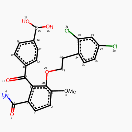 COc1ccc(C(N)=O)c(C(=O)c2ccc(B(O)O)cc2)c1OCCc1ccc(Cl)cc1Cl